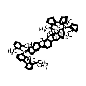 Cc1cccc(C)c1N(c1ccc2cc3c(cc2c1)oc1c3ccc2c3cc4ccc(N(c5c(C)cccc5C)c5cccc6c5oc5c(C(C)(C)C)cccc56)cc4cc3oc21)c1cccc2c1oc1c(C(C)(C)C)cccc12